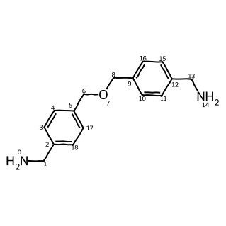 NCc1ccc(COCc2ccc(CN)cc2)cc1